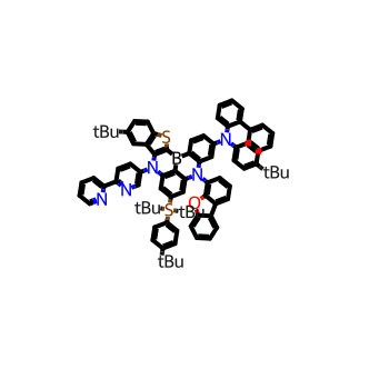 CC(C)(C)c1ccc(N(c2ccc3c(c2)N(c2cccc4c2oc2ccccc24)c2cc(S(c4ccc(C(C)(C)C)cc4)(C(C)(C)C)C(C)(C)C)cc4c2B3c2sc3ccc(C(C)(C)C)cc3c2N4c2ccc(-c3ccccn3)nc2)c2ccccc2-c2ccccc2)cc1